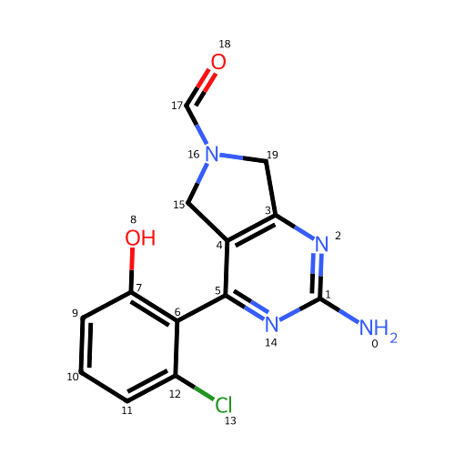 Nc1nc2c(c(-c3c(O)cccc3Cl)n1)CN(C=O)C2